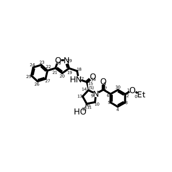 CCOc1cccc(C(=O)N2C[C@H](O)C[C@H]2C(=O)NCc2cc(-c3ccccc3)on2)c1